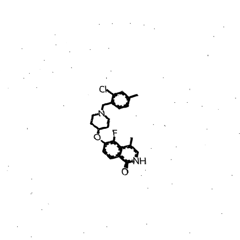 Cc1ccc(CN2CCC(Oc3ccc4c(=O)[nH]cc(C)c4c3F)CC2)c(Cl)c1